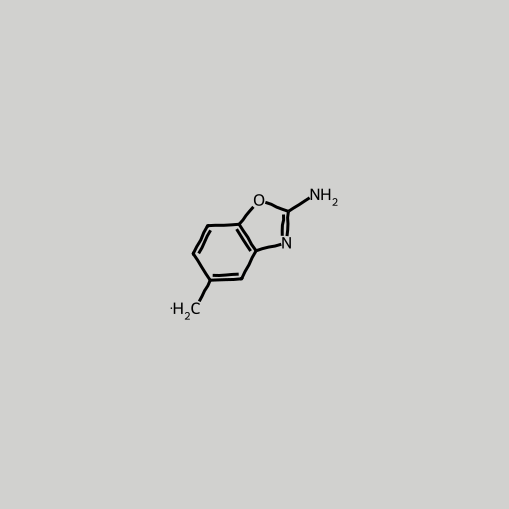 [CH2]c1ccc2oc(N)nc2c1